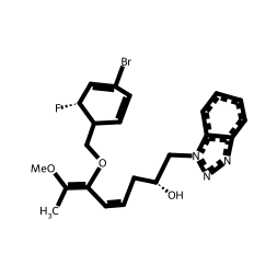 CO/C(C)=C(/C=C\C[C@@H](O)Cn1nnc2ccccc21)OCC1C=CC(Br)=C[C@H]1F